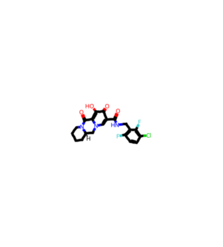 O=C(NCc1c(F)ccc(Cl)c1F)c1cn2c(c(O)c1=O)C(=O)N1CCCC[C@@H]1C2